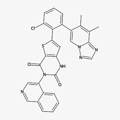 Cc1c(-c2cccc(Cl)c2-c2cc3[nH]c(=O)n(-c4cncc5ccccc45)c(=O)c3s2)cn2ncnc2c1C